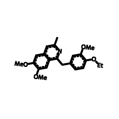 CCOc1ccc(Cc2nc(C)cc3cc(OC)c(OC)cc23)cc1OC